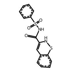 O=C(NS(=O)(=O)c1ccccc1)C1=Cc2ccccc2SN1